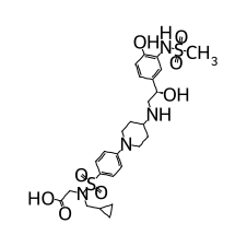 CS(=O)(=O)Nc1cc([C@@H](O)CNC2CCN(c3ccc(S(=O)(=O)N(CC(=O)O)CC4CC4)cc3)CC2)ccc1O